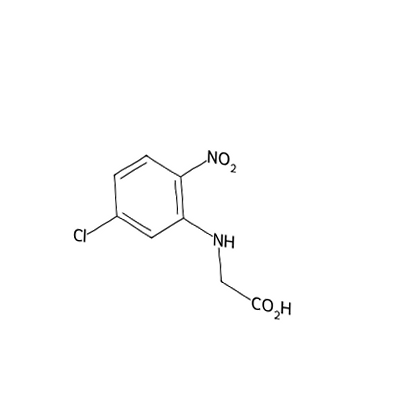 O=C(O)CNc1cc(Cl)ccc1[N+](=O)[O-]